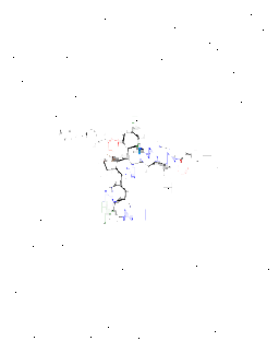 C=CC(=O)N1CCn2nc(-c3nc(-c4cnc5c(c4)CNCC5(F)F)c4ccsc4c3-c3c(F)cc(F)cc3OCCOC)cc2C1C